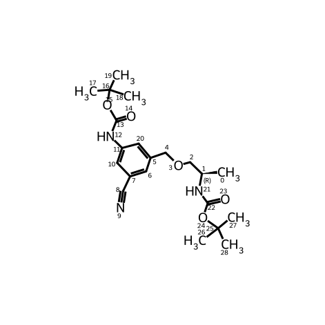 C[C@H](COCc1cc(C#N)cc(NC(=O)OC(C)(C)C)c1)NC(=O)OC(C)(C)C